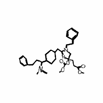 COC(=O)CC[C@]1(OC(=O)OC)CN(CCc2ccccc2)C(CC2CCC(C(CCc3ccccc3)N(C)C)CC2)=N1